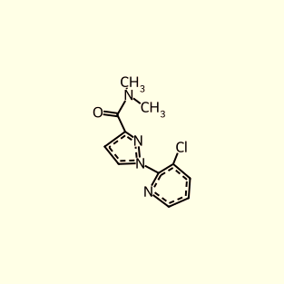 CN(C)C(=O)c1ccn(-c2ncccc2Cl)n1